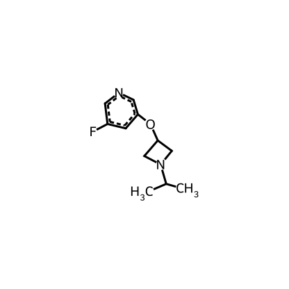 CC(C)N1CC(Oc2cncc(F)c2)C1